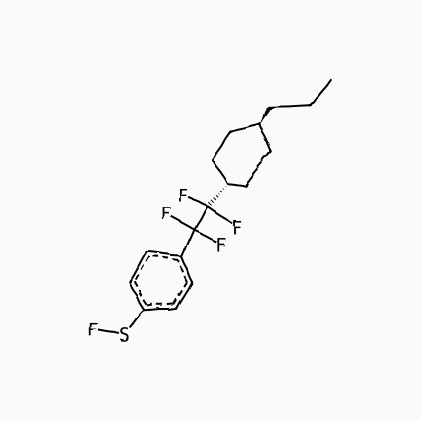 CCC[C@H]1CC[C@H](C(F)(F)C(F)(F)c2ccc(SF)cc2)CC1